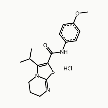 COc1ccc(NC(=O)C2=C(C(C)C)N3CCCN=C3S2)cc1.Cl